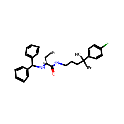 CC(C)C[C@H](NC(c1ccccc1)c1ccccc1)C(=O)NCCCC(C#N)(c1ccc(F)cc1)C(C)C